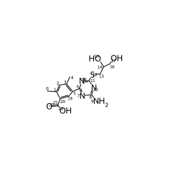 Cc1cc(C)c(-c2nc(N)nc(SCC(O)CO)n2)cc1C(=O)O